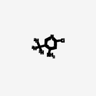 [2H]C([2H])([2H])c1cnc(Cl)cc1N